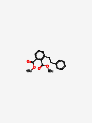 CC(C)(C)OC(=O)c1cccc(CCc2ccccc2)c1C(=O)OC(C)(C)C